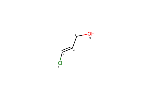 OC/C=C/Cl